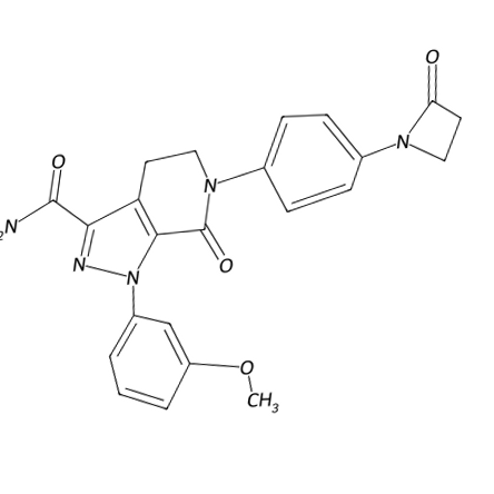 COc1cccc(-n2nc(C(N)=O)c3c2C(=O)N(c2ccc(N4CCC4=O)cc2)CC3)c1